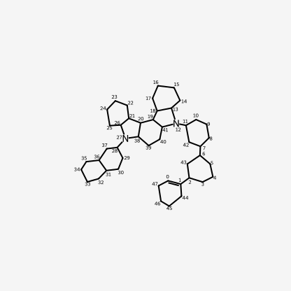 C1=C(C2CCCC(C3CCCC(N4C5CCCCC5C5C6C7CCCCC7N(C7CCC8CCCCC8C7)C6CCC54)C3)C2)CCCC1